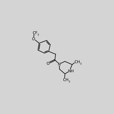 CC1CN(C(=O)Cc2ccc(OC(F)(F)F)cc2)CC(C)N1